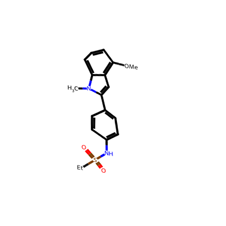 CCS(=O)(=O)Nc1ccc(-c2cc3c(OC)cccc3n2C)cc1